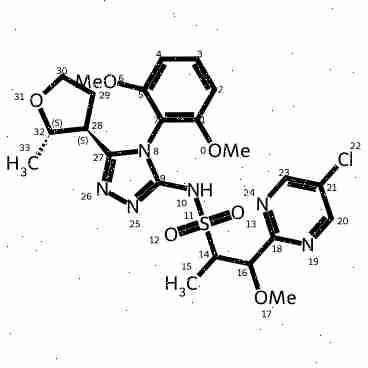 COc1cccc(OC)c1-n1c(NS(=O)(=O)C(C)C(OC)c2ncc(Cl)cn2)nnc1[C@@H]1CCO[C@H]1C